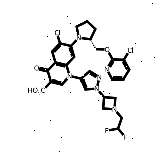 O=C(O)c1cn(-c2cnn(C3CN(CC(F)F)C3)c2)c2cc(N3CCC[C@@H]3COc3ncccc3Cl)c(Cl)cc2c1=O